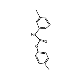 Cc1ccc(OC(=O)Nc2cccc(C)c2)cc1